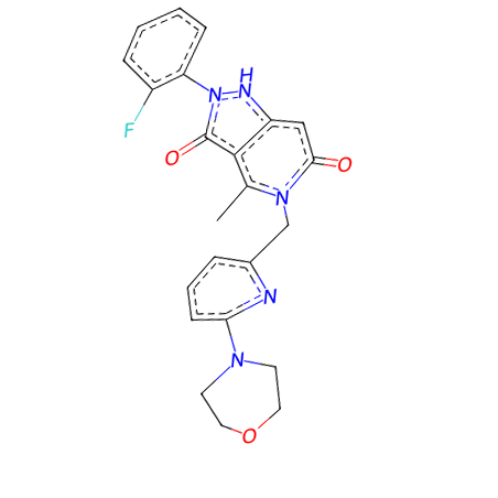 Cc1c2c(=O)n(-c3ccccc3F)[nH]c2cc(=O)n1Cc1cccc(N2CCOCC2)n1